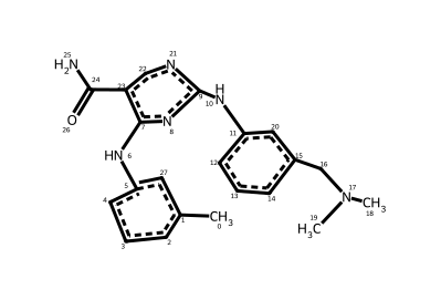 Cc1cccc(Nc2nc(Nc3cccc(CN(C)C)c3)ncc2C(N)=O)c1